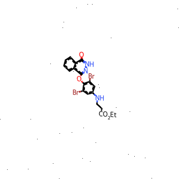 CCOC(=O)CCNc1cc(Br)c(Oc2n[nH]c(=O)c3ccccc23)c(Br)c1